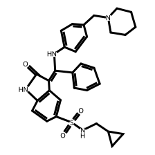 O=C1Nc2ccc(S(=O)(=O)NCC3CC3)cc2/C1=C(/Nc1ccc(CN2CCCCC2)cc1)c1ccccc1